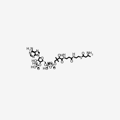 CC(N)CC(=O)SCCNC(=O)CCNC(=O)C(O)C(C)(C)COP(=O)(O)OP(=O)(O)OC[C@H]1O[C@@H](n2cnc3c(N)ncnc32)[C@H](O)[C@@H]1OP(=O)(O)O